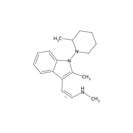 CN/C=C\c1c(C)n(N2CCCCC2C)c2ccccc12